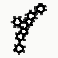 c1cncc(-c2ccc3c(c2)sc2c4sc5cc(-c6cccnc6)ccc5c4c4ccccc4c32)c1